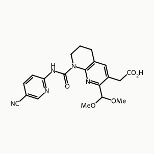 COC(OC)c1nc2c(cc1CC(=O)O)CCCN2C(=O)Nc1ccc(C#N)cn1